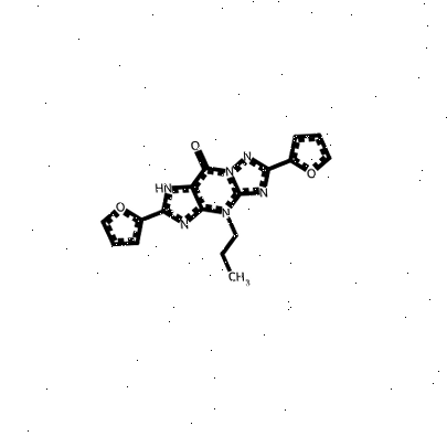 CCCn1c2nc(-c3ccco3)[nH]c2c(=O)n2nc(-c3ccco3)nc12